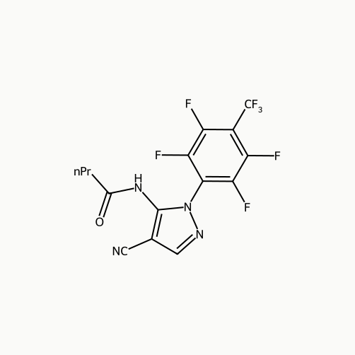 CCCC(=O)Nc1c(C#N)cnn1-c1c(F)c(F)c(C(F)(F)F)c(F)c1F